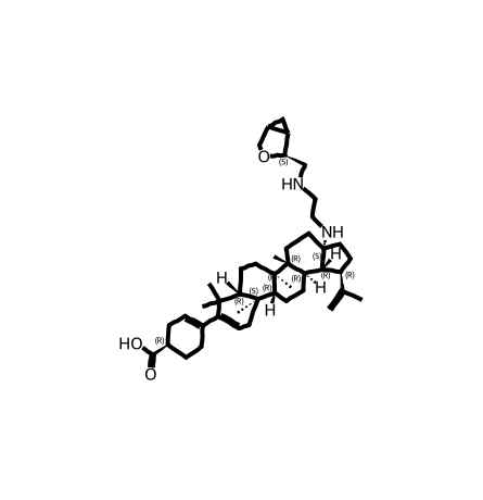 C=C(C)[C@@H]1CC[C@]2(NCCNC[C@H]3OCC4CC43)CC[C@]3(C)[C@H](CC[C@@H]4[C@@]5(C)CC=C(C6=CC[C@H](C(=O)O)CC6)C(C)(C)[C@@H]5CC[C@]43C)[C@@H]12